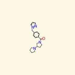 O=C(c1ccc(Cn2cccn2)cc1)N1CCC(N2CCCC2)C1